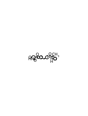 Cc1c(C(=O)N2CCC(=Cc3ccc4c(c3)CN(C3CCC(=O)NC3=O)C4=O)CC2)[nH]c2ccccc12